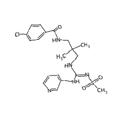 CC(C)(CNC(=O)c1ccc(Cl)cc1)CNC(=NS(C)(=O)=O)Nc1cccnc1